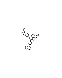 C=N/C(=C\C=C/C)c1ccc(-c2cc(-c3ccc(-c4cccc5ccccc45)cc3)c3ccc4cc(C(C)(C)C)cc5ccc2c3c54)cc1